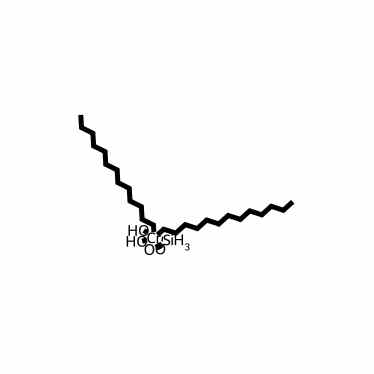 CCCCCCCCCCCC[CH2][Cr](=[O])(=[O])([OH])([OH])([SiH3])[CH2]CCCCCCCCCCCC